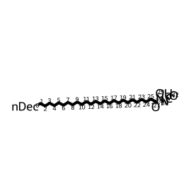 CCCCCCCCCCCCCCCCCCCCCCCCCCCCCCCCCCCC(=O)N(O)N=C=O